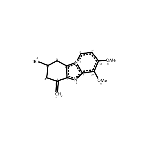 C=C1CC(C(C)(C)C)Cc2c1nc1c(OC)c(OC)ccn21